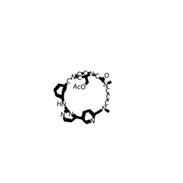 CC(=O)OCC1CN2CCN1CC(=O)N(C)CCCN(C)c1ccc(cn1)-c1ccnc(n1)Nc1cccc(c1)C2